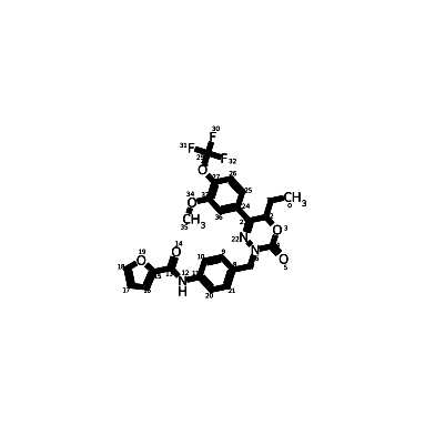 CCC1OC(=O)N(Cc2ccc(NC(=O)c3ccco3)cc2)N=C1c1ccc(OC(F)(F)F)c(OC)c1